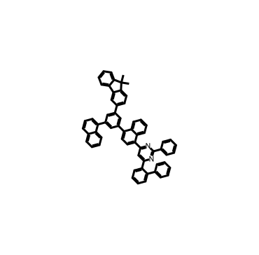 CC1(C)c2ccccc2-c2cc(-c3cc(-c4cccc5ccccc45)cc(-c4ccc(-c5cc(-c6ccccc6-c6ccccc6)nc(-c6ccccc6)n5)c5ccccc45)c3)ccc21